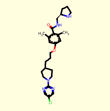 Cc1cc(OCCCC2CCN(c3ncc(Cl)cn3)CC2)cc(C)c1C(=O)NC[C@H]1CCCN1